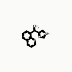 C=C(c1c[nH]cn1)c1cccc2cccnc12